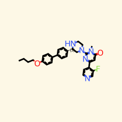 CCCCOc1ccc(-c2ccc([C@H]3CN(c4nc(-c5ccncc5F)cc(=O)n4C)CCN3)cc2)cc1